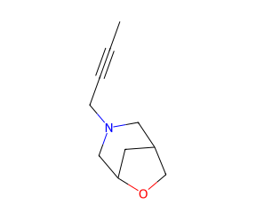 CC#CCN1CC2COC(C2)C1